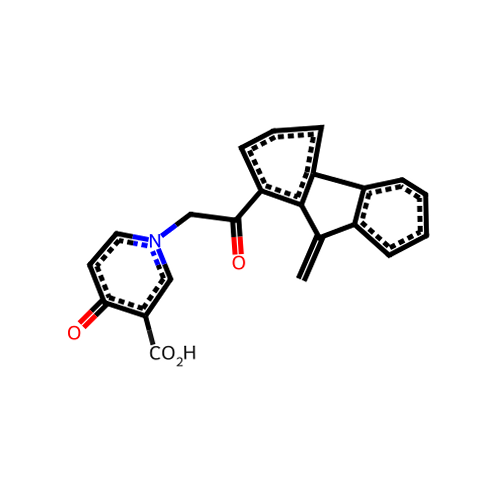 C=C1c2ccccc2-c2cccc(C(=O)Cn3ccc(=O)c(C(=O)O)c3)c21